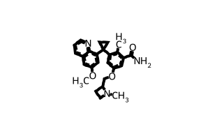 COc1cc(C2(c3cc(OCC4CCN4C)cc(C(N)=O)c3C)CC2)c2ncccc2c1